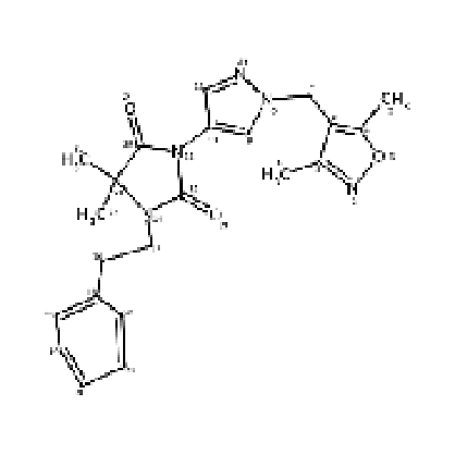 Cc1noc(C)c1Cn1cc(N2C(=O)N(CCc3ccccc3)C(C)(C)C2=O)cn1